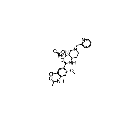 CC(=O)O.COc1cc(NC(C)=O)c(Cl)cc1C(=O)NC1CCN(Cc2ccccn2)CC1O